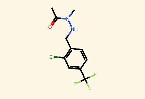 CC(=O)N(C)NCc1ccc(C(F)(F)F)cc1Cl